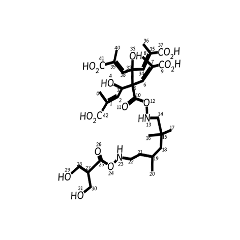 CC(=CC(O)C(C=C(C)C(=O)O)(C(=O)ONCC(C)(C)CC(C)CCNOC(=O)C(CO)CO)C(O)(C=C(C)C(=O)O)C=C(C)C(=O)O)C(=O)O